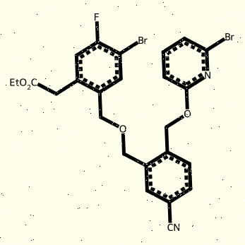 CCOC(=O)Cc1cc(F)c(Br)cc1COCc1cc(C#N)ccc1COc1cccc(Br)n1